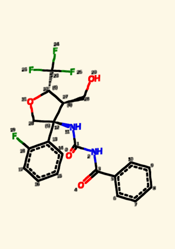 O=C(NC(=O)c1ccccc1)N[C@@]1(c2ccccc2F)CO[C@H](C(F)(F)F)[C@H]1CO